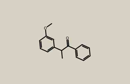 COc1[c]c(C(C)C(=O)c2ccccc2)ccc1